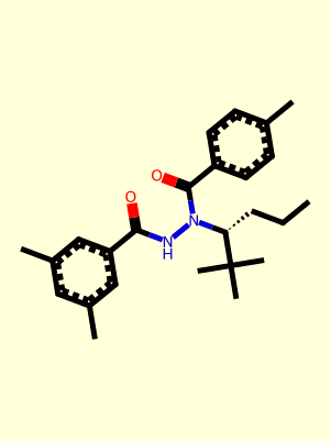 CCC[C@@H](N(NC(=O)c1cc(C)cc(C)c1)C(=O)c1ccc(C)cc1)C(C)(C)C